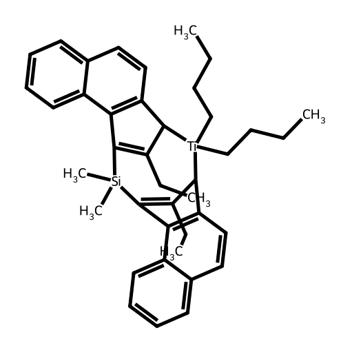 CCC[CH2][Ti]1([CH2]CCC)[CH]2C(CC)=C(c3c2ccc2ccccc32)[Si](C)(C)C2=C(CC)[CH]1c1ccc3ccccc3c12